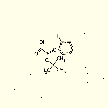 CC(C)(C)OC(=O)C(=O)O.Ic1ccccc1